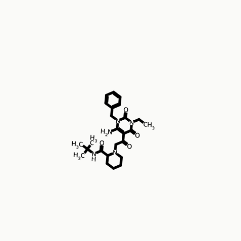 CCn1c(=O)c(C(=O)CN2CCCCC2C(=O)NC(C)(C)C)c(N)n(Cc2ccccc2)c1=O